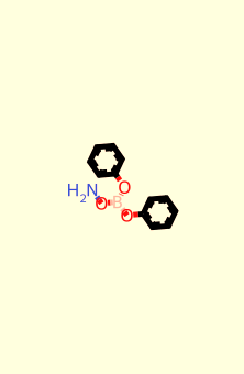 NOB(Oc1ccccc1)Oc1ccccc1